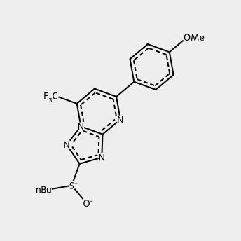 CCCC[S+]([O-])c1nc2nc(-c3ccc(OC)cc3)cc(C(F)(F)F)n2n1